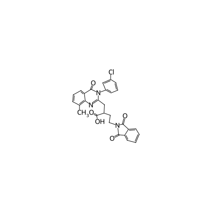 Cc1cccc2c(=O)n(-c3cccc(Cl)c3)c(CC(CCN3C(=O)c4ccccc4C3=O)C(=O)O)nc12